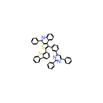 c1ccc(-c2cc(-c3cccc(-c4c(-c5cccc6c5sc5ccccc56)sc5c(-c6ccccc6)nc6ccccc6c45)c3)nc(-c3ccccc3)n2)cc1